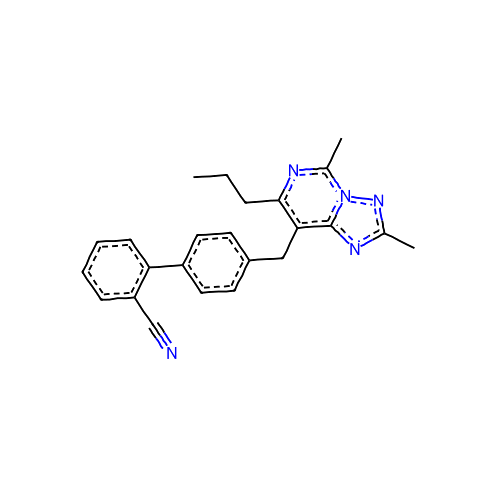 CCCc1nc(C)n2nc(C)nc2c1Cc1ccc(-c2ccccc2C#N)cc1